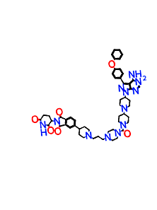 Nc1ncnc2c1c(-c1ccc(Oc3ccccc3)cc1)nn2C1CCN(C2CCN(C(=O)N3CCN(CCCN4CCC(c5ccc6c(c5)C(=O)N(C5CCC(=O)NC5=O)C6=O)CC4)CC3)CC2)CC1